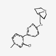 Cc1ccc(-c2ccc(OC3CN4CCC3CC4)cn2)c(Cl)c1